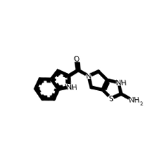 NC1NC2=C(CN(C(=O)c3cc4ccccc4[nH]3)C2)S1